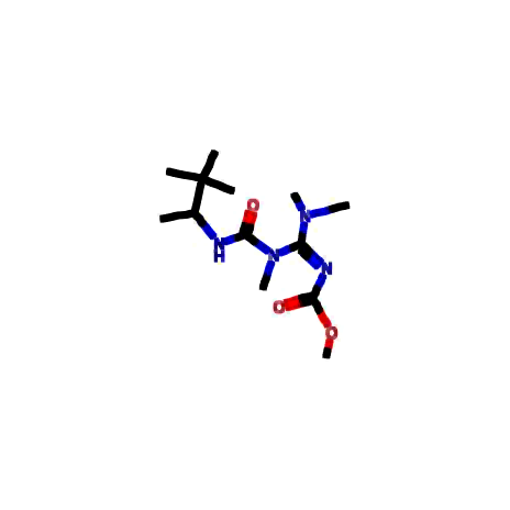 COC(=O)N=C(N(C)C)N(C)C(=O)NC(C)C(C)(C)C